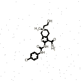 C[N+]1(CCO)CCc2c(sc(NC(=O)Nc3ccc(Cl)cc3)c2C(N)=O)C1.[I-]